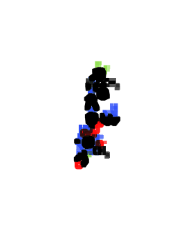 CC(C)c1ccccc1[C@@H]1CN(Cc2ccc(F)c(F)c2)CCN1C1CC2(CCN(c3ccc(C(=O)NS(=O)(=O)c4cc([NH+](C)[O-])c(NCC5(F)CCOCC5)c5[nH]cnc45)c(Oc4cnc5[nH]ccc5c4)c3)CC2)C1